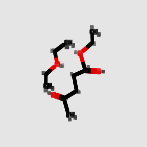 CCOC(=O)CCC(C)=O.CCOCC